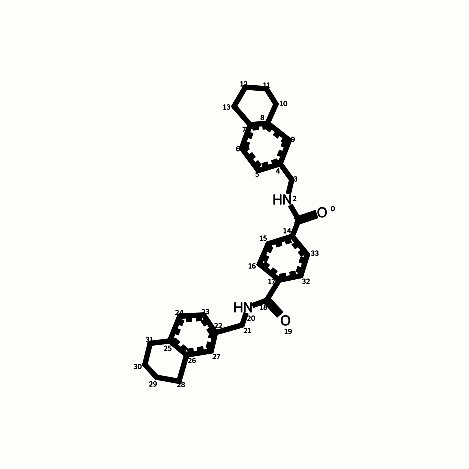 O=C(NCc1ccc2c(c1)CCCC2)c1ccc(C(=O)NCc2ccc3c(c2)CCCC3)cc1